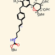 CS[C@H]1O[C@@H](c2ccc(C)c(Cc3ccc(/C=C/CCCNC(=O)OC(C)(C)C)cc3)c2)[C@H](OC(C)=O)[C@@H](OC(C)=O)[C@@H]1OC(C)=O